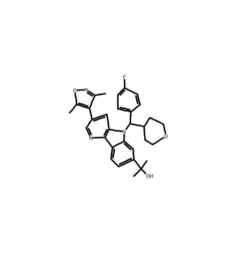 Cc1noc(C)c1-c1cnc2c3ccc(C(C)(C)O)cc3n(C(c3ccc(F)cc3)C3CCOCC3)c2c1